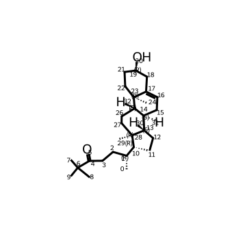 C[C@H](CCC(=O)C(C)(C)C)[C@H]1CC[C@H]2[C@@H]3CC=C4C[C@H](O)CC[C@]4(C)[C@H]3CC[C@]12C